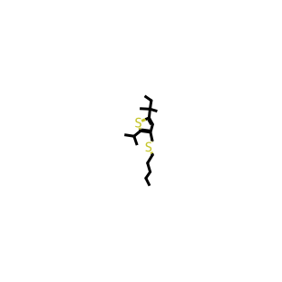 CCCCCSCc1cc(C(C)(C)CC)sc1C(C)C